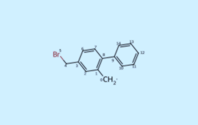 [CH2]c1cc(CBr)ccc1-c1ccccc1